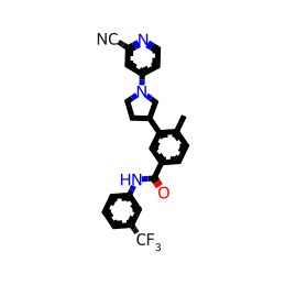 Cc1ccc(C(=O)Nc2cccc(C(F)(F)F)c2)cc1C1CCN(c2ccnc(C#N)c2)C1